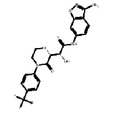 Nc1noc2cc(NC(=O)[C@H](O)[C@H]3OCCN(c4ccc(C(F)(F)F)cc4)C3=O)ccc12